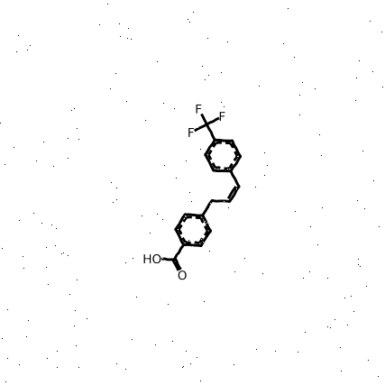 O=C(O)c1ccc(C/C=C\c2ccc(C(F)(F)F)cc2)cc1